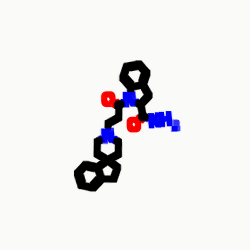 NC(=O)C1Cc2ccccc2N1C(=O)CCN1CCC2(CCc3ccccc32)CC1